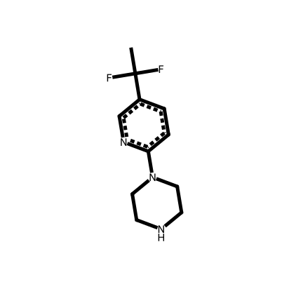 CC(F)(F)c1ccc(N2CCNCC2)nc1